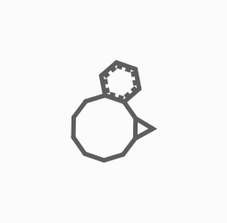 c1ccc2c(c1)CCCCCCC1CC21